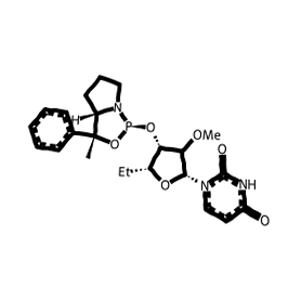 CC[C@H]1O[C@@H](n2ccc(=O)[nH]c2=O)C(OC)[C@H]1O[P@@]1O[C@](C)(c2ccccc2)[C@@H]2CCCN21